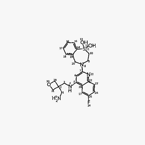 NCC1(CNc2cc(N3CCS(O)(O)c4ccccc4C3)nc3ccc(F)cc23)COC1